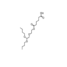 CCCCOC(COCCOC(=O)CCCCC(=O)O)OCCCC